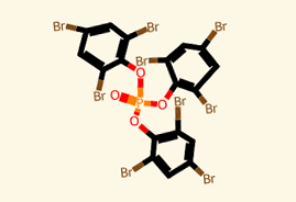 O=P(Oc1c(Br)cc(Br)cc1Br)(Oc1c(Br)cc(Br)cc1Br)Oc1c(Br)cc(Br)cc1Br